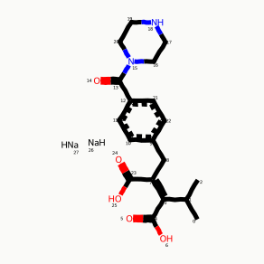 CC(C)/C(C(=O)O)=C(\Cc1ccc(C(=O)N2CCNCC2)cc1)C(=O)O.[NaH].[NaH]